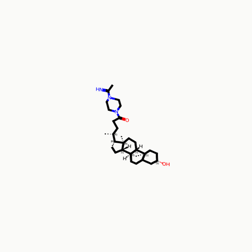 CC(=N)N1CCN(C(=O)CC[C@@H](C)[C@H]2CC[C@H]3[C@@H]4CCC5C[C@@H](O)CC[C@]5(C)[C@H]4CC[C@]23C)CC1